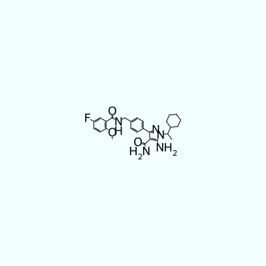 COc1ccc(F)cc1C(=O)NCc1ccc(-c2nn(C(C)C3CCCCC3)c(N)c2C(N)=O)cc1